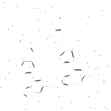 CN(C)c1cn2nccc2c(-c2ccc(CN(C(=O)O)C(C)(C)C)cc2)n1.CN(C)c1cn2nccc2c(-c2ccc(CNC(=O)OC(C)(C)C)cc2)n1